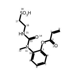 C=CC(=O)Oc1ccccc1N(C)C(=O)NCCS(=O)(=O)O